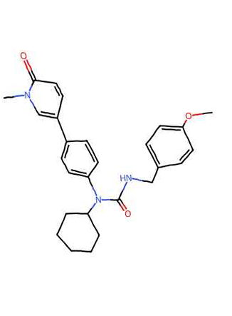 COc1ccc(CNC(=O)N(c2ccc(-c3ccc(=O)n(C)c3)cc2)C2CCCCC2)cc1